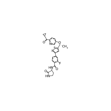 C[C@@H](Oc1ccc(C(=O)C2CC2)nc1)c1cc(-c2ccc(C(=O)N[C@H]3CCNC3=O)c(F)c2)ns1